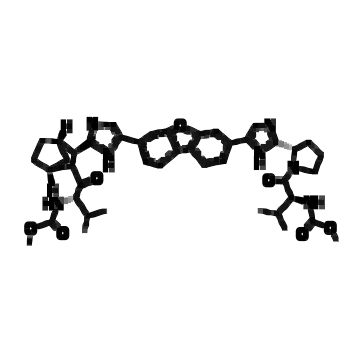 COC(=O)N[C@H](C(=O)C1[C@@H]2CC[C@@H](C2)[C@H]1c1ncc(-c2ccc3c(c2)oc2cc(-c4cnc([C@@H]5CCCN5C(=O)[C@@H](NC(=O)OC)C(C)C)[nH]4)ccc23)[nH]1)C(C)C